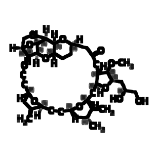 C=C1C[C@@H]2CCO[C@H]3[C@@H]4O[C@H]5CC[C@H](CC(=O)C[C@@H]6[C@@H](OC)[C@@H](C[C@H](O)CO)O[C@H]6C[C@H]6O[C@@H](CC[C@@H]1O2)C[C@@H](C)C6=C)O[C@@H]5[C@@H]1OC[C@@H]3O[C@@H]14